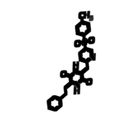 Cc1ccc(S(=O)(=O)c2ccc(C=c3[nH]c(=O)c(=CCc4ccccc4)[nH]c3=O)nc2)cc1